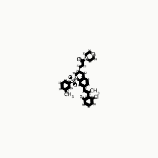 C/C(=C\c1ccc2c(c1)N(S(=O)(=O)c1cccc(C)c1)C[C@H](CCC(=O)N1CCOCC1)C2)c1c(F)cccc1Cl